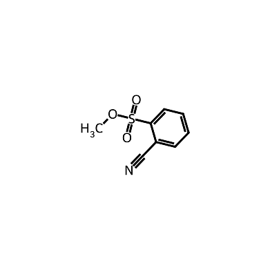 COS(=O)(=O)c1ccccc1C#N